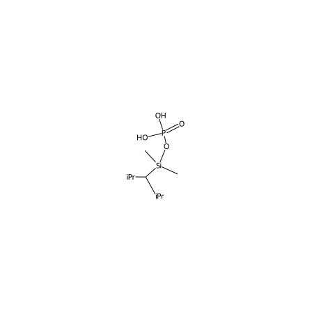 CC(C)C(C(C)C)[Si](C)(C)OP(=O)(O)O